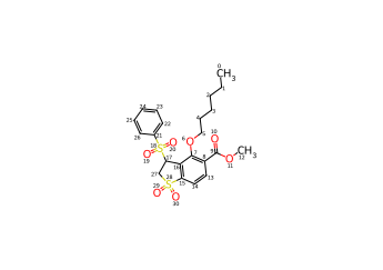 CCCCCCOc1c(C(=O)OC)ccc2c1C(S(=O)(=O)c1ccccc1)CS2(=O)=O